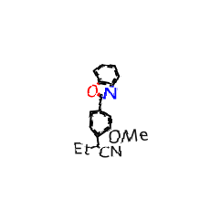 CCC(C#N)c1ccc(-c2nc3ccccc3o2)cc1OC